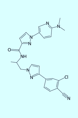 CC(Cn1ccc(-c2ccc(C#N)c(Cl)c2)n1)NC(=O)c1ccn(-c2ccc(N(C)C)nc2)n1